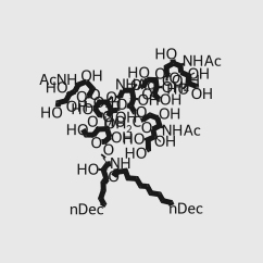 CCCCCCCCCCCCC/C=C/[C@@H](O)[C@H](CO[C@@H]1OC(CO)[C@@H](O[C@@H]2OC(CO)[C@H](O[C@@H]3OC(CO[C@]4(C(=O)O)CC(O)[C@@H](NC(C)=O)C([C@H](O)[C@H](O)CO)O4)[C@H](O)[C@H](O[C@@H]4OC(CO)[C@H](O)[C@H](O[C@]5(C(=O)O)CC(O)[C@@H](NC(C)=O)C([C@H](O)[C@H](O)CO)O5)C4O)C3NC(C)=O)[C@H](O[C@]3(C(=O)O)CC(O)[C@@H](NC(C)=O)C([C@H](O)[C@H](O)CO)O3)C2O)[C@H](O)C1O)NC(=O)CCCCCCCCCCCCCCCCCCC